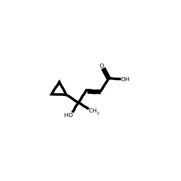 CC(O)(C=CC(=O)O)C1CC1